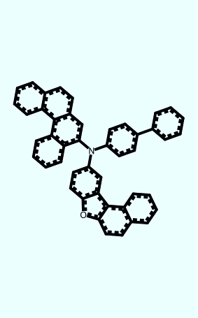 c1ccc(-c2ccc(N(c3ccc4oc5ccc6ccccc6c5c4c3)c3cc4ccc5ccccc5c4c4ccccc34)cc2)cc1